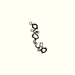 O=S(=O)(c1cccc(Cl)c1)N1CCC(=NOCc2nc3ccccc3[nH]2)CC1